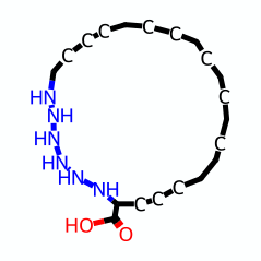 O=C(O)C1CCCCCCCCCCCCCCCCCCNNNNNN1